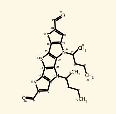 CCCC(C)n1c2cc(C=O)sc2c2sc3c4sc(C=O)cc4n(C(C)CCC)c3c21